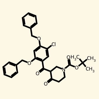 CC(C)(C)OC(=O)N1CCC(=O)C(C(=O)c2cc(Cl)c(OCc3ccccc3)cc2OCc2ccccc2)C1